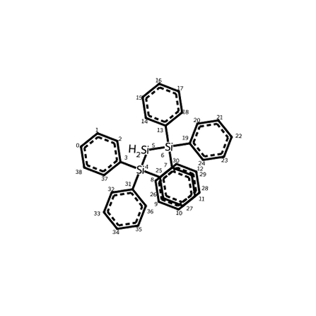 c1ccc([Si]([SiH2][Si](c2ccccc2)(c2ccccc2)c2ccccc2)(c2ccccc2)c2ccccc2)cc1